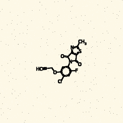 C#CCOc1cc(N2C(=O)c3nc(C)sc3C2=O)c(F)cc1Cl